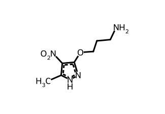 Cc1[nH]nc(OCCCN)c1[N+](=O)[O-]